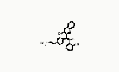 CC/C(=C(\C1=Cc2ccccc2CC1CC)c1ccc(/C=C/C(=O)O)cc1)c1ccccc1C#N